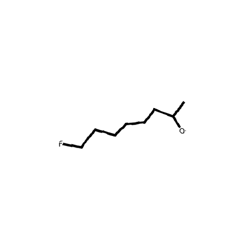 CC([O])CCCCCCF